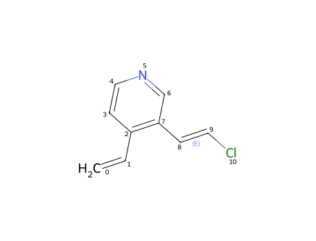 C=Cc1ccncc1/C=C/Cl